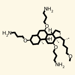 COCCC[C@@H](C)[C@H]1CC[C@H]2C3[C@H](OCCCN)CC4C[C@H](OCCCN)CC[C@]4(C)[C@H]3C[C@H](OCCCN)[C@]12C